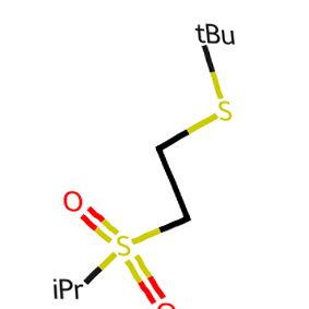 CC(C)S(=O)(=O)CCSC(C)(C)C